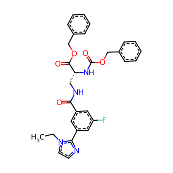 CCn1ccnc1-c1cc(F)cc(C(=O)NC[C@@H](NC(=O)OCc2ccccc2)C(=O)OCc2ccccc2)c1